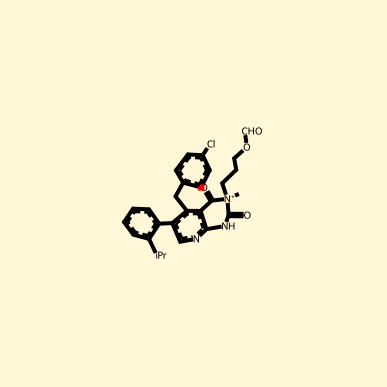 CC(C)c1ccccc1-c1cnc2c(c1Cc1ccc(Cl)cc1)C(=O)[N+](C)(CCCOC=O)C(=O)N2